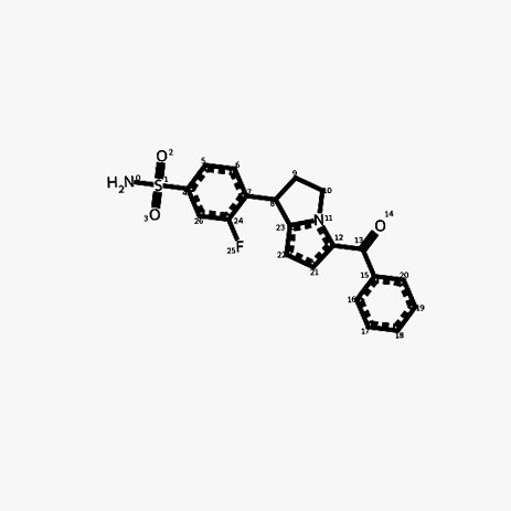 NS(=O)(=O)c1ccc(C2CCn3c(C(=O)c4ccccc4)ccc32)c(F)c1